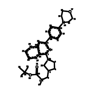 CN(CC1CCN(c2nc(-c3ccc(N4CCOCC4)cc3)cc3nccnc23)C1)C(=O)OC(C)(C)C